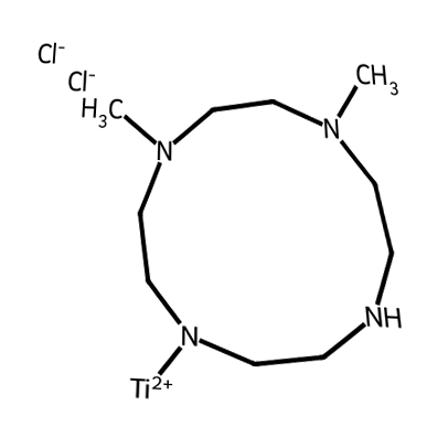 CN1CCNCC[N]([Ti+2])CCN(C)CC1.[Cl-].[Cl-]